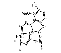 CC#CC1Oc2ccc(O)c(OC)c2-c2ccc3c(c21)C(C)=CC(C)(C)N3